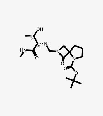 CNC(=O)[C@@H](NCN1CC2(CCCN2C(=O)OC(C)(C)C)C1=O)[C@@H](C)O